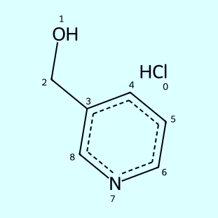 Cl.OCc1cccnc1